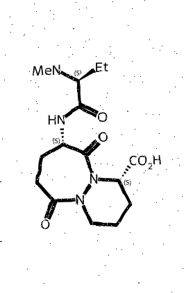 CC[C@H](NC)C(=O)N[C@H]1CCC(=O)N2CCC[C@@H](C(=O)O)N2C1=O